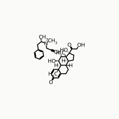 C#CCN(C)[C@H](C)Cc1ccccc1.C[C@]12C=CC(=O)C=C1CC[C@@H]1[C@@H]2[C@@H](O)C[C@@]2(C)[C@H]1CC[C@]2(O)C(=O)CO